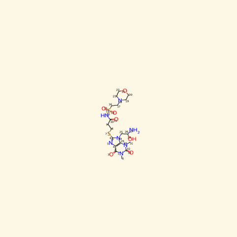 Cn1c(=O)c2nc(SCCC(=O)NS(=O)(=O)CCN3CCOCC3)n(CC(N)O)c2n(C)c1=O